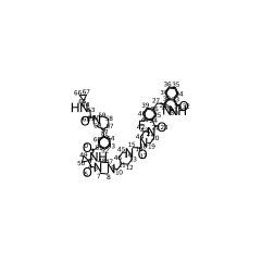 O=C(NC1(C(=O)N2CCN(CC3CCN(CC(=O)N4CCN(C(=O)c5cc(Cc6n[nH]c(=O)c7ccccc67)ccc5F)CC4)CC3)CC2)CC1)c1cccc(C2CCCN(C(=O)CNC3CC3)C2)c1